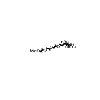 CCCCC(N)(CCCC)CCCOCCOCCOCCOC